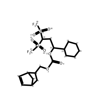 O=C(OCC1CC2C=CC1C2)OC(CC(S(=O)(=O)C(F)(F)F)S(=O)(=O)C(F)(F)F)C1CCCCC1